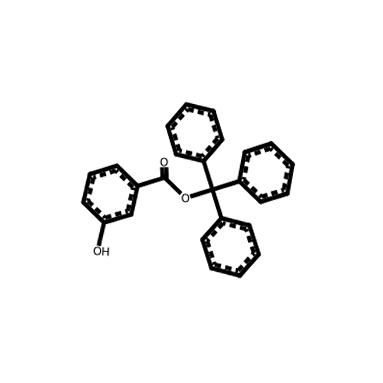 O=C(OC(c1ccccc1)(c1ccccc1)c1ccccc1)c1cccc(O)c1